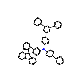 c1ccc(-c2ccc(N(c3ccc(-c4cc(-c5ccccc5)cc(-c5ccccc5)c4)cc3)c3ccc4c(c3)-c3ccccc3C43c4ccccc4-c4ccccc43)cc2)cc1